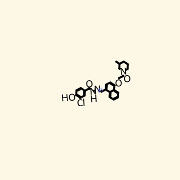 CC1CCCN(C(=O)COc2ccc(/C=N/NC(=O)c3ccc(O)c(Cl)c3)c3ccccc23)C1